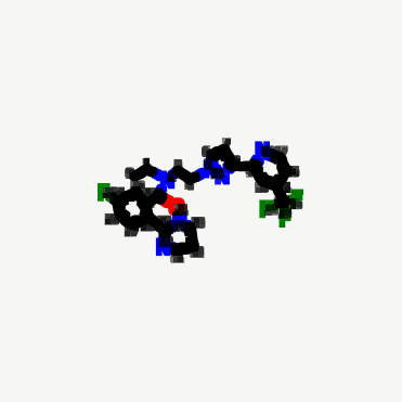 CCN(CCn1ccc(-c2cc(C(F)(F)F)ccn2)n1)C(=O)c1cc(F)ccc1-c1ncccn1